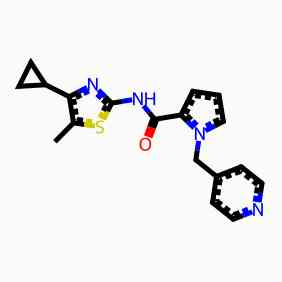 Cc1sc(NC(=O)c2cccn2Cc2ccncc2)nc1C1CC1